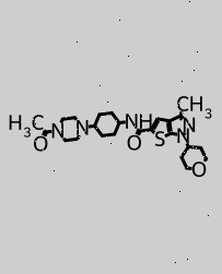 CC(=O)N1CCN(C2CCC(NC(=O)c3cc4c(C)nn(C5CCOCC5)c4s3)CC2)CC1